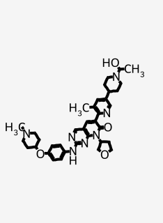 Cc1cc(C2CCN(C(C)O)CC2)cnc1-c1cc2cnc(Nc3ccc(OC4CCN(C)CC4)cc3)nc2n(C2CCOC2)c1=O